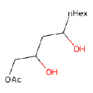 CCCCCCC(O)CC(O)COC(C)=O